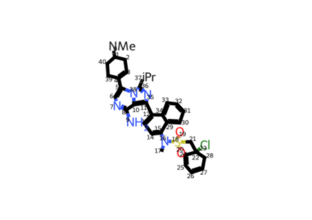 CNC1CC=C(c2cnc(N)c3c(-c4ccc(N(C)S(=O)(=O)CC5(Cl)C=CC=CC5)c5ccccc45)nc(C(C)C)n23)CC1